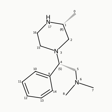 C[C@@H]1CN([C@H](CN(C)C)c2ccccc2)CCN1